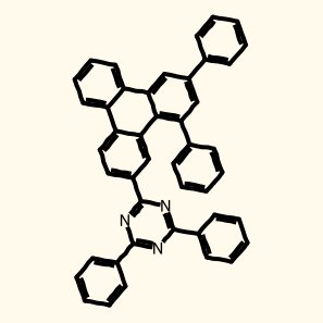 c1ccc(-c2cc(-c3ccccc3)c3c(c2)c2ccccc2c2ccc(-c4nc(-c5ccccc5)nc(-c5ccccc5)n4)cc23)cc1